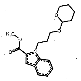 COC(=O)c1cc2ccccc2n1CCCOC1CCCCO1